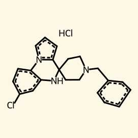 Cl.Clc1ccc2c(c1)NC1(CCN(Cc3ccccc3)CC1)c1cccn1-2